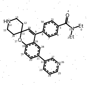 CCN(CC)C(=O)c1ccc(C2=CC3(CCNCC3)Oc3ccc(-c4cccnc4)cc32)cc1